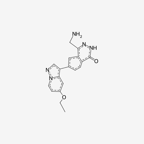 CCOc1ccn2ncc(-c3ccc4c(=O)[nH]nc(CN)c4c3)c2c1